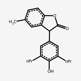 CCCc1cc(C2C(=O)Oc3ccc(C)cc32)cc(CCC)c1O